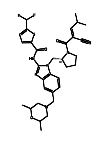 CC(C)C=C(C#N)C(=O)N1CCC[C@@H]1Cn1c(NC(=O)c2ccc(C(F)F)s2)nc2cc(CN3CC(C)OC(C)C3)ccc21